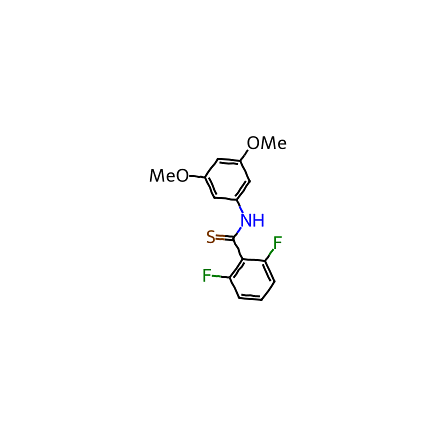 COc1cc(NC(=S)c2c(F)cccc2F)cc(OC)c1